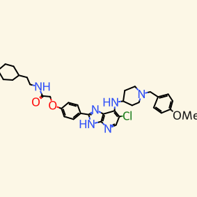 COc1ccc(CN2CCC(Nc3c(Cl)cnc4[nH]c(-c5ccc(OCC(=O)NCCC6CCCCC6)cc5)nc34)CC2)cc1